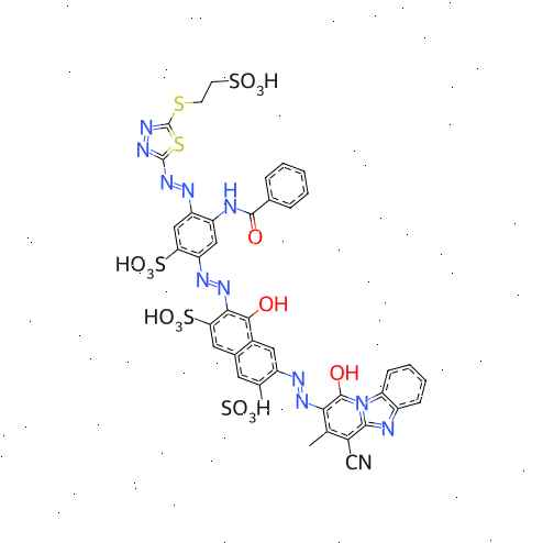 Cc1c(N=Nc2cc3c(O)c(N=Nc4cc(NC(=O)c5ccccc5)c(N=Nc5nnc(SCCS(=O)(=O)O)s5)cc4S(=O)(=O)O)c(S(=O)(=O)O)cc3cc2S(=O)(=O)O)c(O)n2c(nc3ccccc32)c1C#N